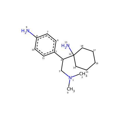 CN(C)CC(c1ccc(N)cc1)C1(N)CCCCC1